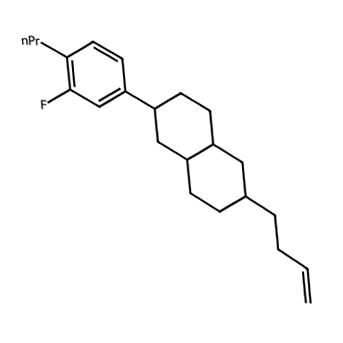 C=CCCC1CCC2CC(c3ccc(CCC)c(F)c3)CCC2C1